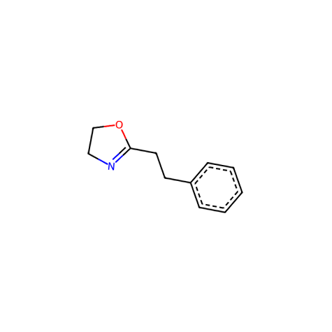 c1ccc(CCC2=NCCO2)cc1